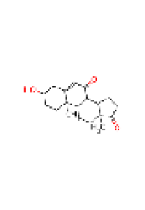 CC12CCC3C(C(=O)C=C4CC(O)CCC43C)C1CCC2=O